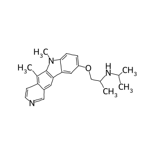 Cc1c2ccncc2cc2c3cc(OCC(C)NC(C)C)ccc3n(C)c12